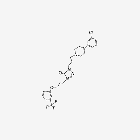 O=c1n(CCCOc2cccc(C(F)(F)F)c2)cnn1CCCN1CCN(c2cccc(Cl)c2)CC1